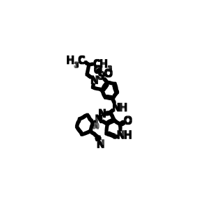 CC(C)CN1Cc2cc(Nc3nn([C@H]4CCCCC4C#N)c4cc[nH]c(=O)c34)ccc2S1(=O)=O